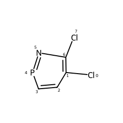 Clc1ccpnc1Cl